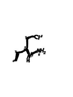 C=CC(CCl)NN